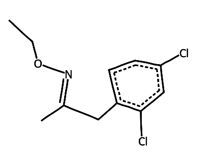 CCON=C(C)Cc1ccc(Cl)cc1Cl